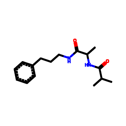 CC(C)C(=O)NC(C)C(=O)NCCCc1ccccc1